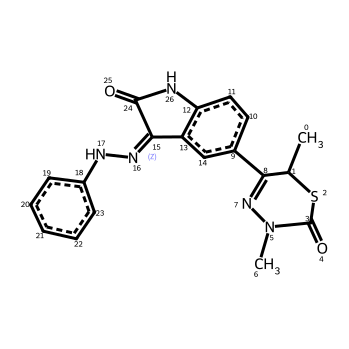 CC1SC(=O)N(C)N=C1c1ccc2c(c1)/C(=N/Nc1ccccc1)C(=O)N2